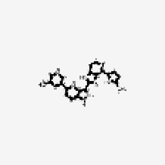 Cc1ccc(-c2nccc3[nH]c(-c4n[nH]c5ccc(-c6cncc(O)c6)nc45)nc23)s1